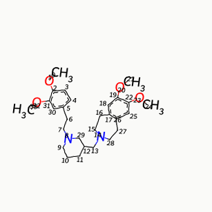 COc1ccc(CCN2CCCC(CN3CCc4cc(OC)c(OC)cc4CC3)C2)cc1OC